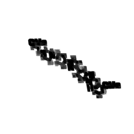 COCCCN1CCN([C@H]2CC[C@@H](n3ccc(-c4ccc5[nH]c(Cc6ccccc6OC)nc5c4)n3)CC2)CC1